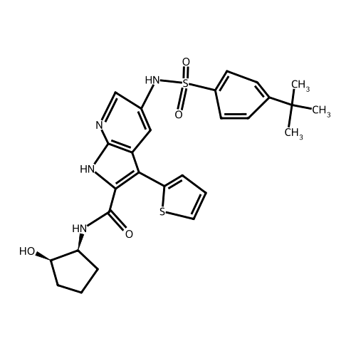 CC(C)(C)c1ccc(S(=O)(=O)Nc2cnc3[nH]c(C(=O)N[C@H]4CCC[C@H]4O)c(-c4cccs4)c3c2)cc1